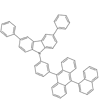 c1ccc(-c2ccc3c(c2)c2cc(-c4ccccc4)ccc2n3-c2cccc(-c3c4ccccc4c(-c4cccc5ccccc45)c4ccccc34)c2)cc1